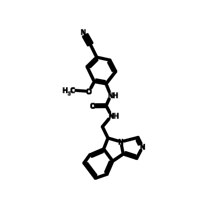 COc1cc(C#N)ccc1NC(=O)NCC1c2ccccc2-c2cncn21